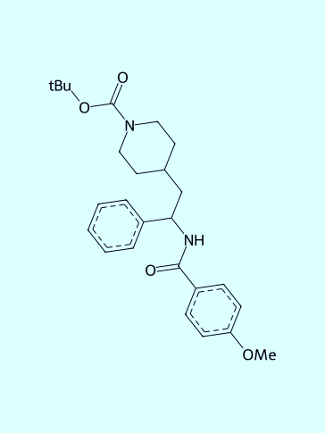 COc1ccc(C(=O)NC(CC2CCN(C(=O)OC(C)(C)C)CC2)c2ccccc2)cc1